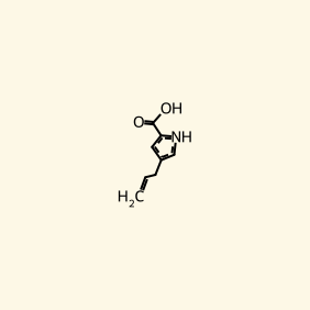 C=CCc1c[nH]c(C(=O)O)c1